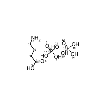 NCCCC(=O)O.O=P(O)(O)O.O=P(O)(O)O